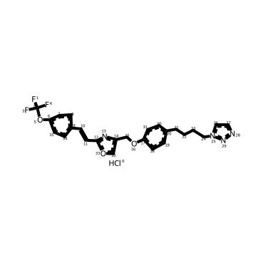 Cl.FC(F)(F)Oc1ccc(C=Cc2nc(COc3ccc(CCCCn4ccnn4)cc3)co2)cc1